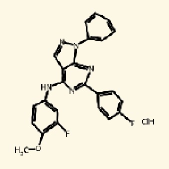 COc1ccc(Nc2nc(-c3ccc(F)cc3)nc3c2cnn3-c2ccccc2)cc1F.Cl